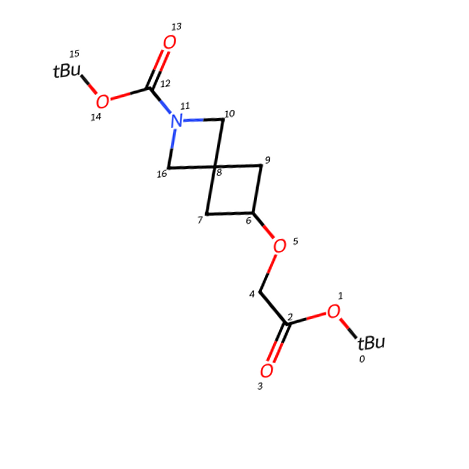 CC(C)(C)OC(=O)COC1CC2(C1)CN(C(=O)OC(C)(C)C)C2